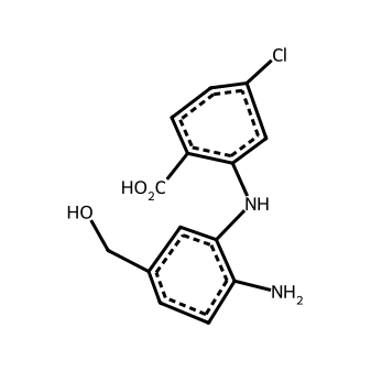 Nc1ccc(CO)cc1Nc1cc(Cl)ccc1C(=O)O